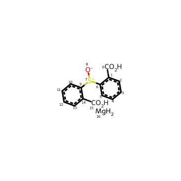 O=C(O)c1ccccc1[S+]([O-])c1ccccc1C(=O)O.[MgH2]